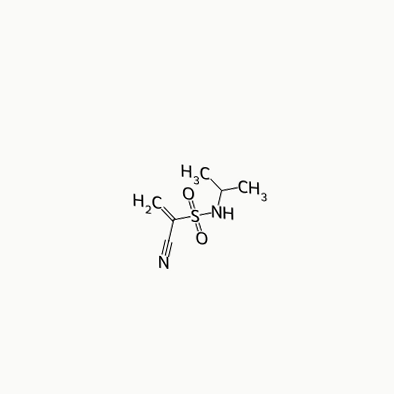 C=C(C#N)S(=O)(=O)NC(C)C